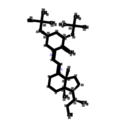 C=C1/C(=C\C=C2/CCC[C@]3(C)[C@@H]([C@H](C)CC#N)CC[C@@H]23)C[C@@H](O[Si](C)(C)C(C)(C)C)C[C@@H]1O[Si](C)(C)C(C)(C)C